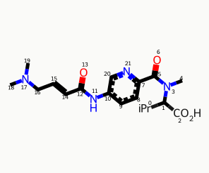 CC(C)C(C(=O)O)N(C)C(=O)c1ccc(NC(=O)/C=C/CN(C)C)cn1